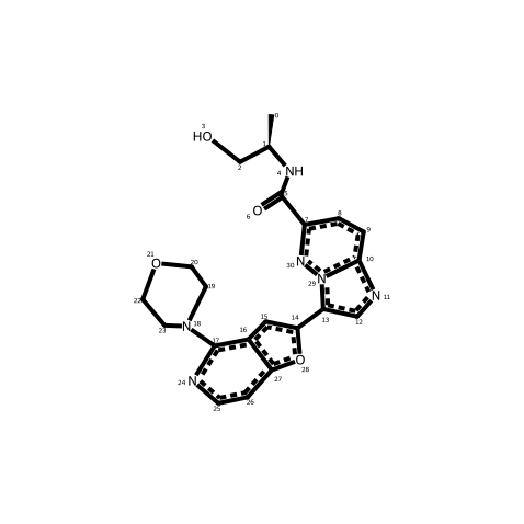 C[C@H](CO)NC(=O)c1ccc2ncc(-c3cc4c(N5CCOCC5)nccc4o3)n2n1